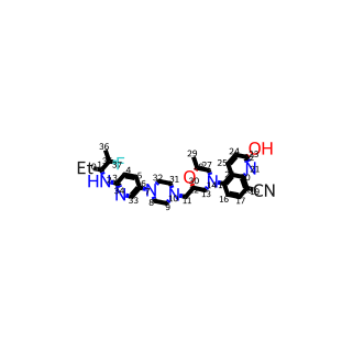 CCC(Nc1ccc(N2CCN(CC3CN(c4ccc(C#N)c5nc(O)ccc45)CC(C)O3)CC2)cn1)C(C)F